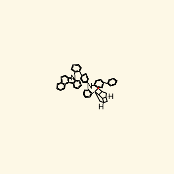 c1ccc(-c2ccc(N(c3ccc(-c4ccccc4-n4c5ccccc5c5c6ccccc6ccc54)cc3)c3ccccc3[C@]34CC5C[C@H]6C[C@H](C3)C6C54)cc2)cc1